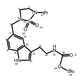 CC(C)N1CCN(Cc2ccc3[nH]cc(CCNC(=O)OC(C)(C)C)c3c2)S1(=O)=O